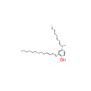 CCCCCCCCCCCCSc1cc(C(C)CCCCCCCC)ccc1O